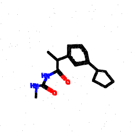 CNC(=O)NC(=O)C(C)c1cccc(C2CCCC2)c1